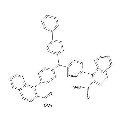 COC(=O)c1ccc2ccccc2c1-c1ccc(N(c2ccc(-c3ccccc3)cc2)c2ccc(-c3c(C(=O)OC)ccc4ccccc34)cc2)cc1